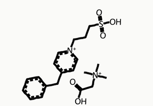 C[N+](C)(C)CC(=O)O.O=S(=O)(O)CCC[n+]1ccc(Cc2ccccc2)cc1